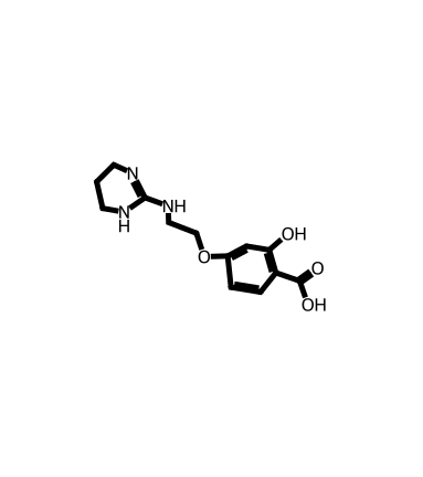 O=C(O)c1ccc(OCCNC2=NCCCN2)cc1O